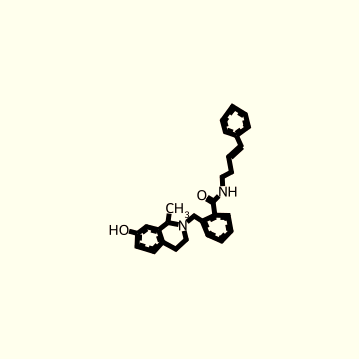 CC1c2cc(O)ccc2CCN1Cc1ccccc1C(=O)NCCC=Cc1ccccc1